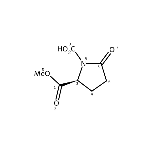 COC(=O)[C@@H]1CCC(=O)N1C(=O)O